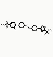 CC(C)(F)c1noc(N2CCC(CO[C@H]3CC[C@H](c4ccc(S(C)(=O)=O)cc4F)CC3)CC2)n1